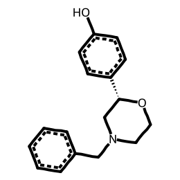 Oc1ccc([C@H]2CN(Cc3ccccc3)CCO2)cc1